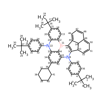 CC(C)(C)c1ccc(N2C3=C(B4c5ccc(C(C)(C)C)cc5N(c5ccc(C(C)(C)C)cc5)c5cc(C6CCCCC6)cc2c54)C2=CC=CC4=CC=CC3C42)cc1